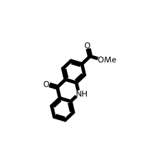 COC(=O)c1ccc2c(=O)c3ccccc3[nH]c2c1